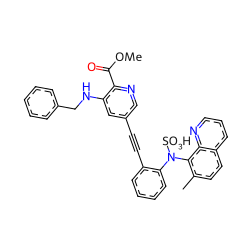 COC(=O)c1ncc(C#Cc2ccccc2N(c2c(C)ccc3cccnc23)S(=O)(=O)O)cc1NCc1ccccc1